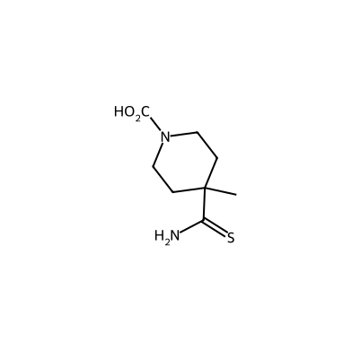 CC1(C(N)=S)CCN(C(=O)O)CC1